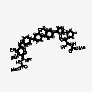 CC[C@H](C)N(C(=O)[C@@H](NC(=O)OC)C(C)C)[C@@H](CC)c1nc2ccc(-c3ccc4c(c3)OCc3cc(-c5cnc([C@@H]6CCCN6C(=O)[C@@H](NC(=O)OC)C(C)C)[nH]5)ccc3-4)cc2[nH]1